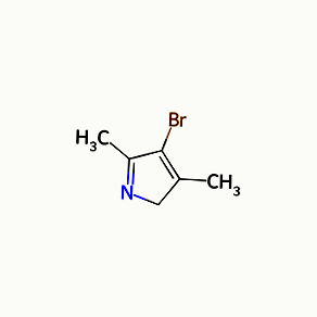 CC1=NCC(C)=C1Br